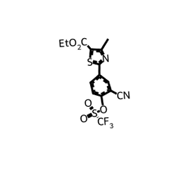 CCOC(=O)c1sc(-c2ccc(OS(=O)(=O)C(F)(F)F)c(C#N)c2)nc1C